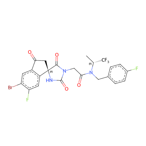 C[C@@H](N(Cc1ccc(F)cc1)C(=O)CN1C(=O)N[C@@]2(CC(=O)c3cc(Br)c(F)cc32)C1=O)C(F)(F)F